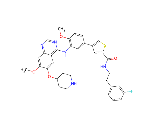 COc1ccc(-c2csc(C(=O)NCCc3cccc(F)c3)c2)cc1Nc1ncnc2cc(OC)c(OC3CCNCC3)cc12